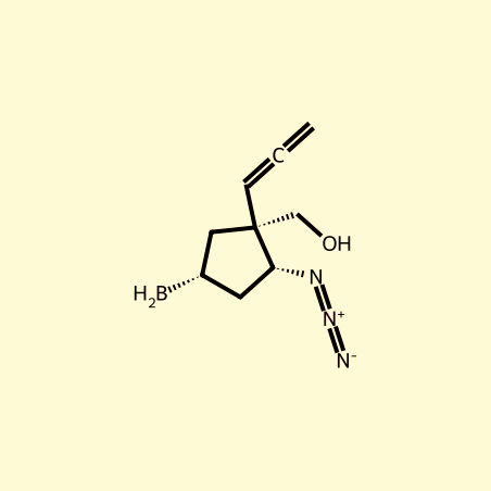 B[C@H]1C[C@@H](N=[N+]=[N-])[C@@](C=C=C)(CO)C1